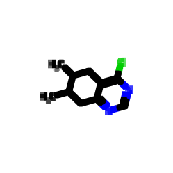 CC1Cc2ncnc(Cl)c2CC1C